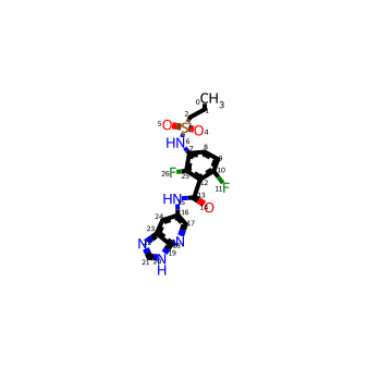 CCCS(=O)(=O)Nc1ccc(F)c(C(=O)Nc2cnc3[nH]cnc3c2)c1F